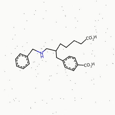 O=C(O)CCCCC(CNCc1ccccc1)Cc1ccc(C(=O)O)cc1